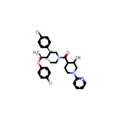 C[C@H](Oc1ccc(Cl)cc1)[C@H]1CCN(C(=O)C2CCN(c3ccccn3)CC2C#N)C[C@@H]1c1ccc(Cl)cc1